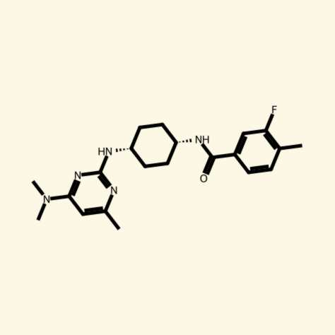 Cc1cc(N(C)C)nc(N[C@H]2CC[C@@H](NC(=O)c3ccc(C)c(F)c3)CC2)n1